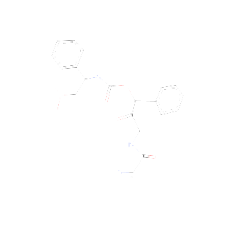 C[C@H](N)C(=O)NCC(=O)C(OC(=O)NC(CB(O)O)c1ccccc1)c1ccccc1